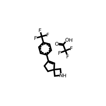 FC(F)(F)c1ccc(C2=CC3(CC2)CNC3)cc1.O=C(O)C(F)(F)F